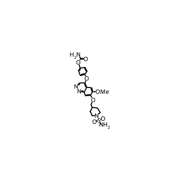 COc1cc2c(Oc3ccc(OC(N)=O)cc3)cnnc2cc1OCC1CCN(S(N)(=O)=O)CC1